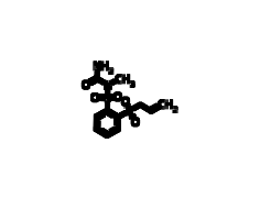 C=CCS(=O)(=O)c1ccccc1S(=O)(=O)N(C)C(N)=O